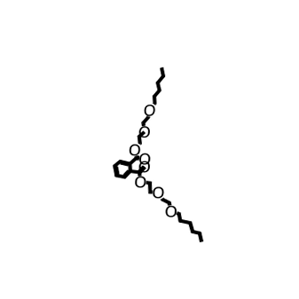 CCCCCCOCCOCCOC(=O)c1ccccc1C(=O)OCCOCCOCCCCCC